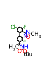 Cc1nc(-c2c(F)cc(Cl)cc2-c2ccc([C@@H](C)NC(=O)OC(C)(C)C)c(F)c2)no1